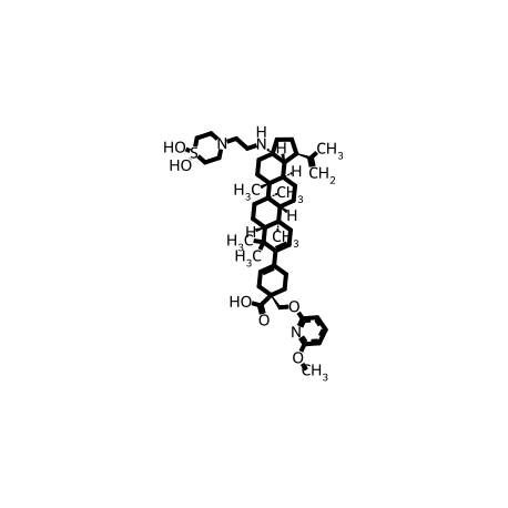 C=C(C)[C@@H]1CC[C@]2(NCCN3CCS(O)(O)CC3)CC[C@]3(C)[C@H](CC[C@@H]4[C@@]5(C)CC=C(C6=CC[C@@](COc7cccc(OC)n7)(C(=O)O)CC6)C(C)(C)[C@@H]5CC[C@]43C)[C@@H]12